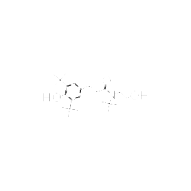 CC(C)(C)c1cc(CCC(=O)N(CCO)C(C)(C)C)cc(C(C)(C)C)c1O